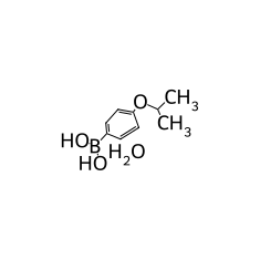 CC(C)Oc1ccc(B(O)O)cc1.O